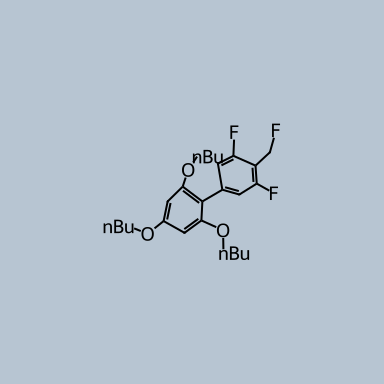 CCCCOc1cc(OCCCC)c(-c2cc(F)c(CF)c(F)c2)c(OCCCC)c1